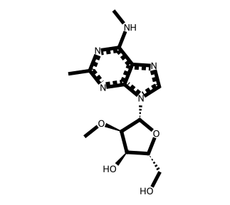 CNc1nc(C)nc2c1ncn2[C@@H]1O[C@H](CO)[C@@H](O)[C@H]1OC